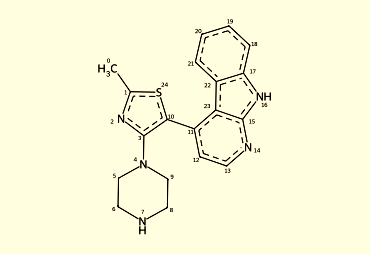 Cc1nc(N2CCNCC2)c(-c2ccnc3[nH]c4ccccc4c23)s1